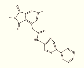 Cc1cc(CC(=O)Nc2cnc(-c3cccnc3)cn2)c2c(c1)C(=O)N(C)C2=O